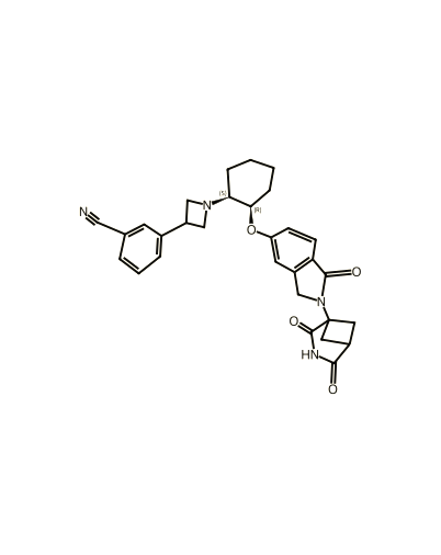 N#Cc1cccc(C2CN([C@H]3CCCC[C@H]3Oc3ccc4c(c3)CN(C35CC(C3)C(=O)NC5=O)C4=O)C2)c1